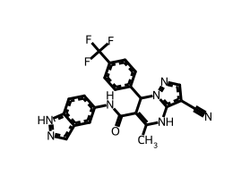 CC1=C(C(=O)Nc2ccc3[nH]ncc3c2)C(c2ccc(C(F)(F)F)cc2)n2ncc(C#N)c2N1